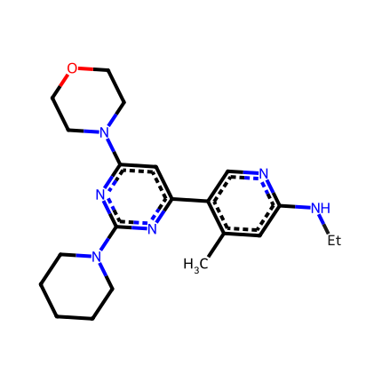 CCNc1cc(C)c(-c2cc(N3CCOCC3)nc(N3CCCCC3)n2)cn1